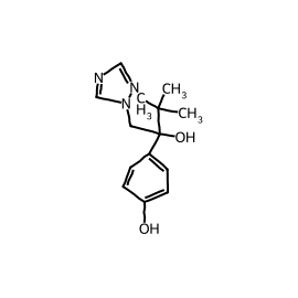 CC(C)(C)C(O)(Cn1cncn1)c1ccc(O)cc1